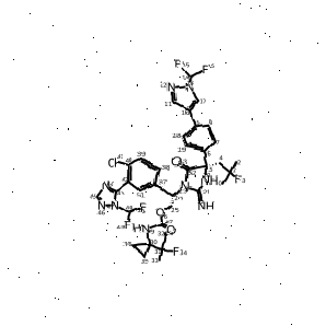 CC(C)(F)C[C@]1(c2ccc(-c3cnn(C(F)F)c3)cc2)NC(=N)N([C@H](COC(=O)NC2(C(C)(C)F)CC2)c2ccc(Cl)c(-c3ncnn3C(F)F)c2)C1=O